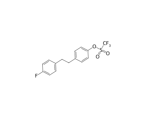 O=S(=O)(Oc1ccc(CCc2ccc(F)cc2)cc1)C(F)(F)F